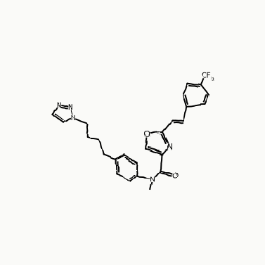 CN(C(=O)c1coc(/C=C/c2ccc(C(F)(F)F)cc2)n1)c1ccc(CCCCn2ccnn2)cc1